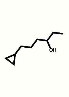 CCC(O)CCCC1CC1